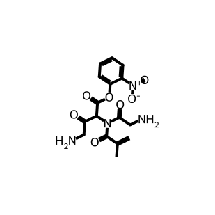 C=C(C)C(=O)N(C(=O)CN)C(C(=O)CN)C(=O)Oc1ccccc1[N+](=O)[O-]